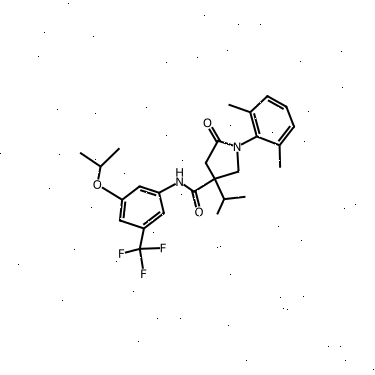 Cc1cccc(C)c1N1CC(C(=O)Nc2cc(OC(C)C)cc(C(F)(F)F)c2)(C(C)C)CC1=O